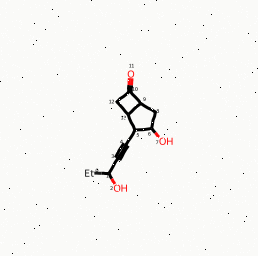 CCC(O)C#CC1C(O)CC2C(=O)CC21